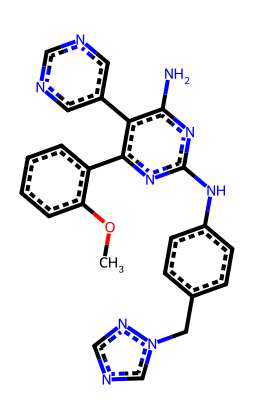 COc1ccccc1-c1nc(Nc2ccc(Cn3cncn3)cc2)nc(N)c1-c1cncnc1